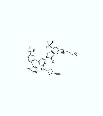 COCCNCc1cc2c(c(C(F)(F)F)c1)CN(c1cc(-c3cc(C(F)(F)F)ccc3-c3nncn3C)cc(N[C@H]3C[C@@H](C#N)C3)n1)C2=O